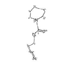 [N-]=[N+]=NCOC(=O)N1CCCCC1